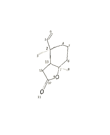 C=C[C@@]1(C)CCC[C@@]2(C)OC(=O)CC12